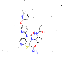 C=CC(=O)N[C@H]1CCC[C@H]1N1C(=O)N(c2ccc(Oc3cccc(C)n3)cn2)c2ccnc3sc(C(N)=O)c1c23